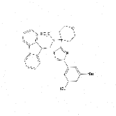 CC(C)(C)c1cc(-c2csc(C3(N(CC4c5ccccc5-c5ccccc54)C(=O)O)CCOCC3)n2)cc(C(C)(C)C)c1